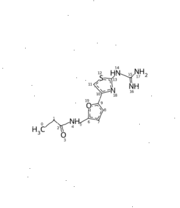 CCC(=O)NCc1ccc(-c2csc(NC(=N)N)n2)o1